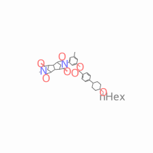 CCCCCCOC1CCC(c2ccc(C(=O)Oc3cc(C)cc(N4C(=O)C5CC(C4=O)C4C6CC(C(=O)N(C)C6=O)C54)c3)cc2)CC1